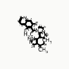 C=C(c1c(F)cc2ncccc2c1F)N1CCn2ncc(-c3[nH]ncc3[C@H](C)CC)c21